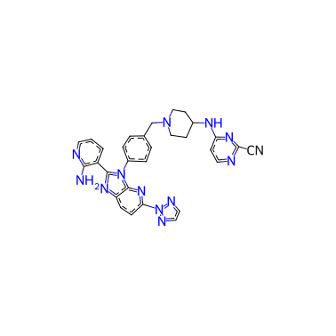 N#Cc1nccc(NC2CCN(Cc3ccc(-n4c(-c5cccnc5N)nc5ccc(-n6nccn6)nc54)cc3)CC2)n1